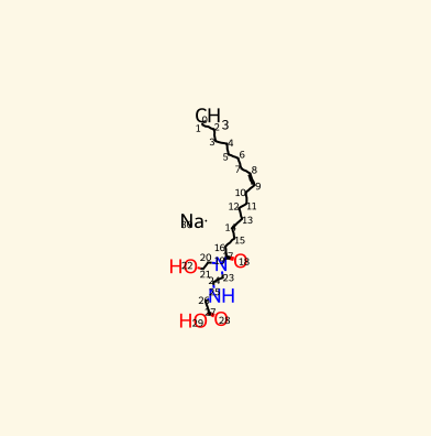 CCCCCCCC/C=C\CCCCCCCC(=O)N(CCO)CCNCC(=O)O.[Na]